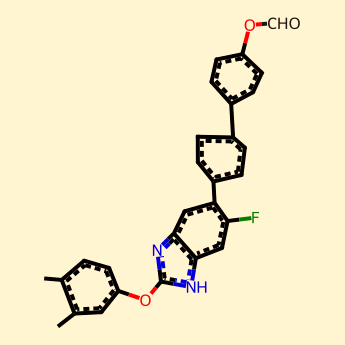 Cc1ccc(Oc2nc3cc(-c4ccc(-c5ccc(OC=O)cc5)cc4)c(F)cc3[nH]2)cc1C